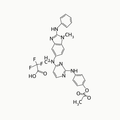 CN(c1ccc2c(c1)nc(Nc1ccccc1)n2C)c1ccnc(Nc2ccc(OS(C)(=O)=O)cc2)n1.O=C(O)C(F)(F)F